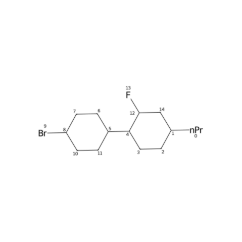 CCCC1CCC(C2CCC(Br)CC2)C(F)C1